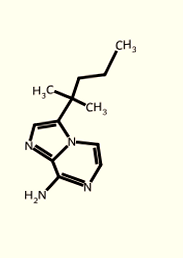 CCCC(C)(C)c1cnc2c(N)nccn12